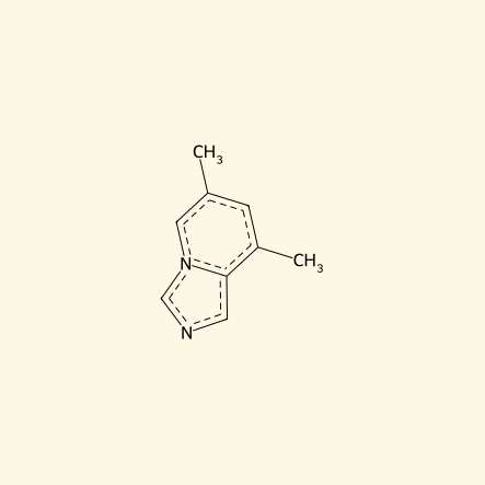 Cc1cc(C)c2cncn2c1